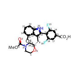 COC(=O)N1CCO[C@@H](Cc2c(-c3c(F)cc(C(=O)O)cc3F)[nH]c3cccc(C)c23)C1